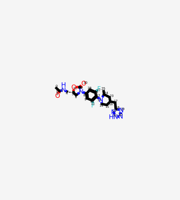 CC(=O)NC[C@H]1CN(c2cc(F)c(N3CCC(Cc4nn[nH]n4)CC3C)c(F)c2)C(=O)O1